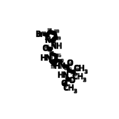 COC(=O)N[C@H](C(=O)NCC12CC1N[C@H](C(=O)Nc1cccc(Br)n1)C2)C(C)C